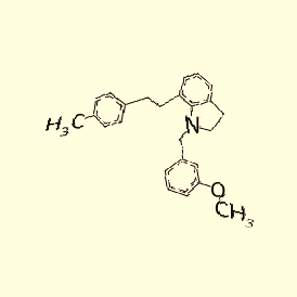 COc1cccc(CN2CCc3cccc(CCc4ccc(C)cc4)c32)c1